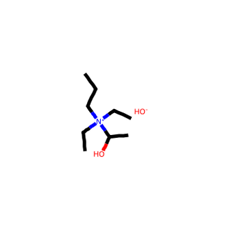 CCC[N+](CC)(CC)C(C)O.[OH-]